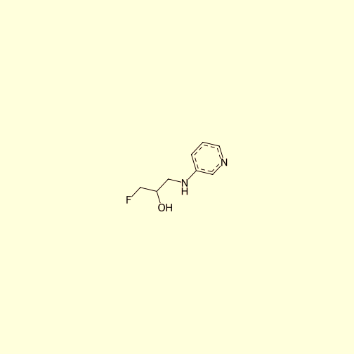 OC(CF)CNc1cccnc1